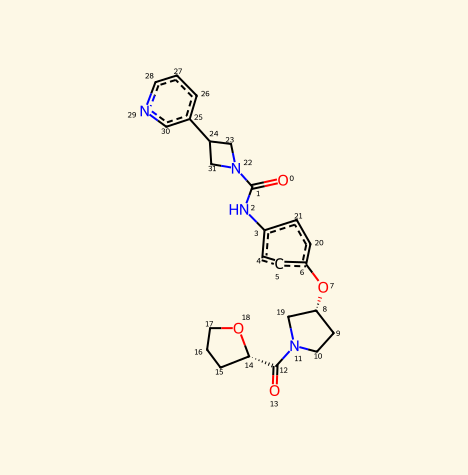 O=C(Nc1ccc(O[C@@H]2CCN(C(=O)[C@@H]3CCCO3)C2)cc1)N1CC(c2cccnc2)C1